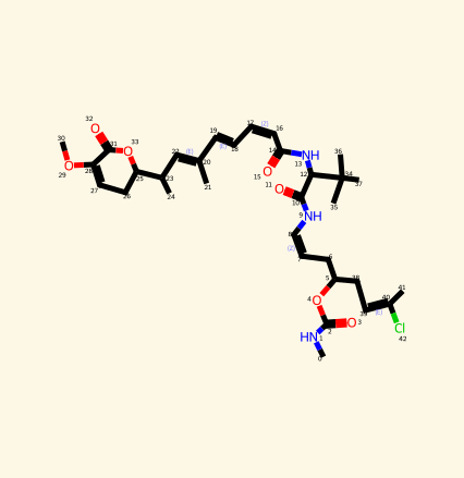 CNC(=O)OC(C/C=C\NC(=O)C(NC(=O)\C=C/C=C/C(C)=C/C(C)C1CC=C(OC)C(=O)O1)C(C)(C)C)C/C=C(\C)Cl